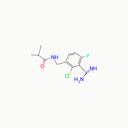 CC(C)C(=O)NCc1ccc(F)c(C(=N)N)c1Cl